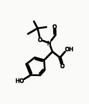 CC(C)(C)ON(C=O)C(C(=O)O)c1ccc(O)cc1